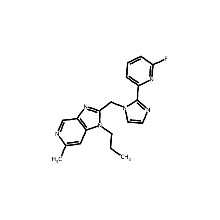 CCCn1c(Cn2ccnc2-c2cccc(F)n2)nc2cnc(C)cc21